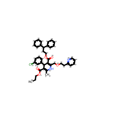 CC1=C(C(=O)OCCC#N)C(c2cccc(Cl)c2)C(C(=O)OCCC(c2ccccc2)c2ccccc2)=C(COCCc2ccccn2)N1